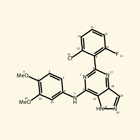 COc1ccc(Nc2nc(-c3c(F)cccc3Cl)nc3cn[nH]c23)cc1OC